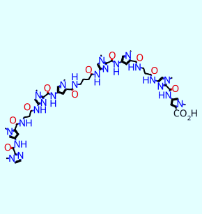 Cn1cc(NC(=O)c2nc(NC(=O)CCNC(=O)c3cc(NC(=O)c4nc(NC(=O)CCCNC(=O)c5cc(NC(=O)c6nc(NC(=O)CCNC(=O)c7cc(NC(=O)c8nccn8C)cn7C)cn6C)cn5C)cn4C)cn3C)cn2C)cc1C(=O)O